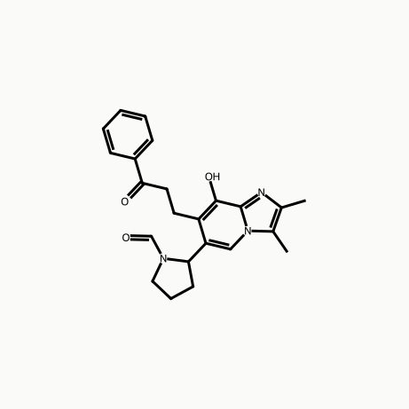 Cc1nc2c(O)c(CCC(=O)c3ccccc3)c(C3CCCN3C=O)cn2c1C